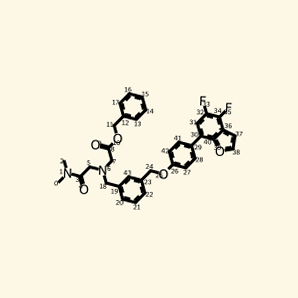 CN(C)C(=O)CN(CC(=O)OCc1ccccc1)Cc1cccc(COc2ccc(-c3cc(F)c(F)c4ccoc34)cc2)c1